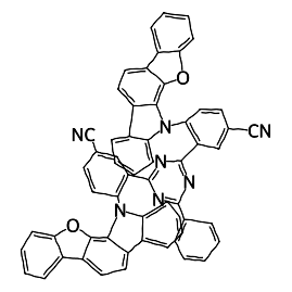 N#Cc1ccc(-n2c3ccccc3c3ccc4c5ccccc5oc4c32)c(-c2nc(-c3ccccc3)nc(-c3cc(C#N)ccc3-n3c4ccccc4c4ccc5c6ccccc6oc5c43)n2)c1